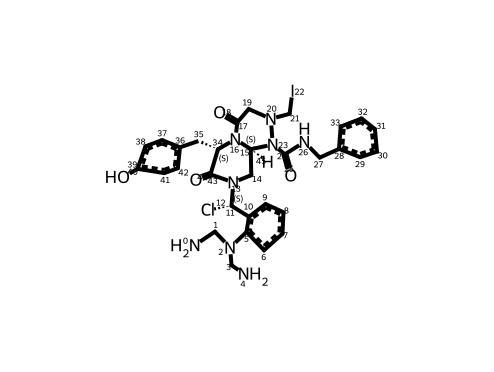 NCN(CN)c1ccccc1[C@H](Cl)N1C[C@H]2N(C(=O)CN(CI)N2C(=O)NCc2ccccc2)[C@@H](Cc2ccc(O)cc2)C1=O